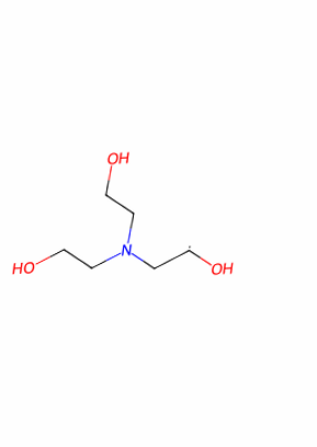 O[CH]CN(CCO)CCO